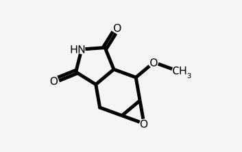 COC1C2OC2CC2C(=O)NC(=O)C21